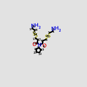 NCCSSCCC(=O)N(C(=O)CCSSCCN)C1CCCC1